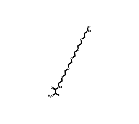 CC(C)NCCOCCOCCOCCOCCOCCNC(=O)C(C)I